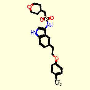 O=S(=O)(CC1CCOCC1)Nc1c[nH]c2ccc(CCOc3ccc(C(F)(F)F)cc3)cc12